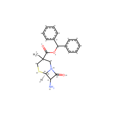 CC1(C(=O)OC(c2ccccc2)c2ccccc2)CS[C@@H]2C(N)C(=O)N2C1